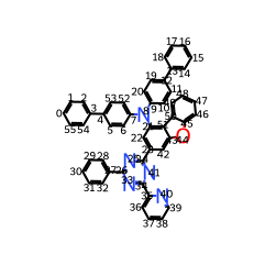 c1ccc(-c2ccc(N(c3ccc(-c4ccccc4)cc3)c3cc(-c4nc(-c5ccccc5)nc(-c5ccccn5)n4)cc4oc5ccccc5c34)cc2)cc1